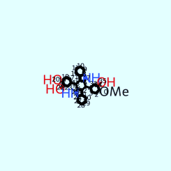 COc1ccc(C2c3[nH]c4ccccc4c3C(c3ccc(O)c(O)c3)c3[nH]c4ccccc4c32)cc1O